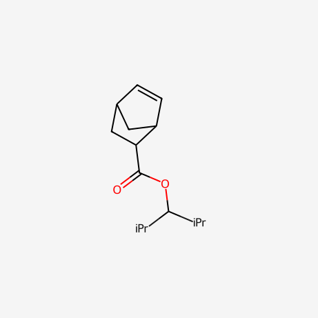 CC(C)C(OC(=O)C1CC2C=CC1C2)C(C)C